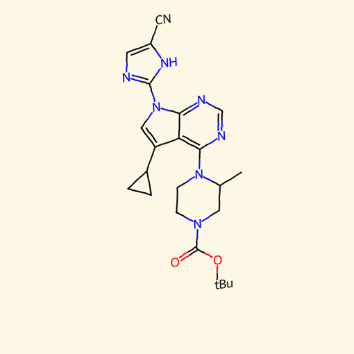 CC1CN(C(=O)OC(C)(C)C)CCN1c1ncnc2c1c(C1CC1)cn2-c1ncc(C#N)[nH]1